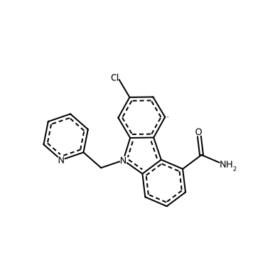 NC(=O)c1cccc2c1c1[c]cc(Cl)cc1n2Cc1ccccn1